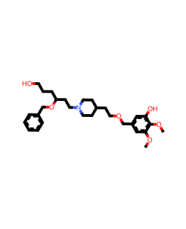 COc1cc(COCCC2CCN(CCC(CCCO)OCc3ccccc3)CC2)cc(O)c1OC